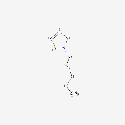 CCCCCN1CC=CS1